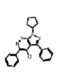 Clc1c(-c2ccccc2)nnc2c1c(-c1ccccc1)nn2C1CCCC1